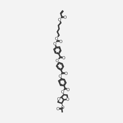 C=CC(=O)OCCCCCOC(=O)Oc1ccc(C(=O)Oc2ccc(C(=O)Oc3ccc(C(=O)O[C@H]4COC5C4OC[C@@H]5OC(C)=O)cc3)cc2)cc1